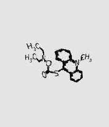 CCN(CC)OC(=O)Sc1c2ccccc2[n+](C)c2ccccc12